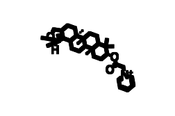 CC1(C)CC[C@]23CC[C@]4(C)C(CCC5[C@@]6(C)CC[C@H](OC(=O)C[n+]7ccccc7)C(C)(C)C6CC[C@]54C)C2[C@H]1OC3